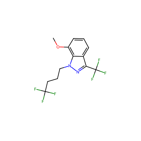 COc1cccc2c(C(F)(F)F)nn(CCCC(F)(F)F)c12